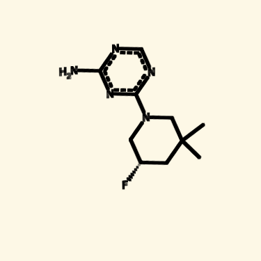 CC1(C)C[C@H](F)CN(c2ncnc(N)n2)C1